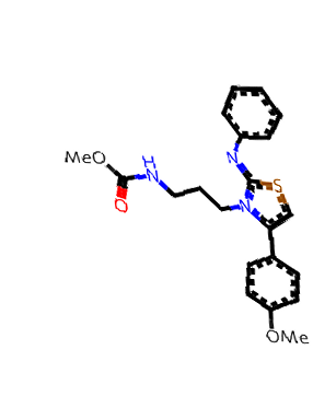 COC(=O)NCCCn1c(-c2ccc(OC)cc2)csc1=Nc1ccccc1